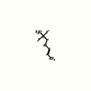 FC(F)(F)/C=C/OCC(F)(F)C(F)(F)F